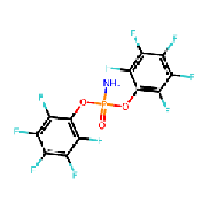 NP(=O)(Oc1c(F)c(F)c(F)c(F)c1F)Oc1c(F)c(F)c(F)c(F)c1F